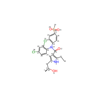 CCc1[nH]c(C[C@H](C)O)cc1C(=O)N(c1ccc(S(C)(=O)=O)cc1)c1ccc(Cl)cc1Cl